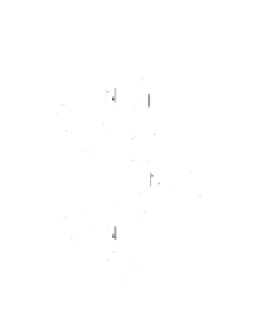 c1ccc(N(c2ccccc2)c2ccc(N(c3ccccc3)c3ccc(-c4nc5ccccc5nc4-c4cccc5ccccc45)cc3)cc2)cc1